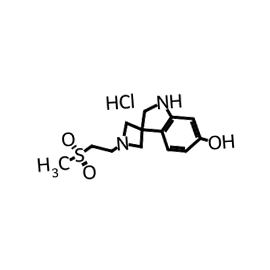 CS(=O)(=O)CCN1CC2(CNc3cc(O)ccc32)C1.Cl